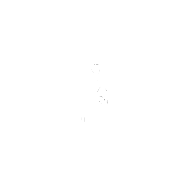 CCCCCCc1c[nH]c2ccc(OCc3ccccc3)cc12